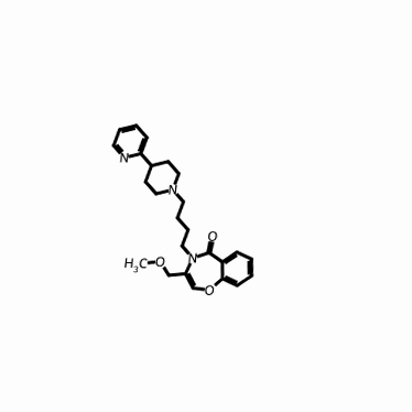 COCC1=COc2ccccc2C(=O)N1CCCCN1CCC(c2ccccn2)CC1